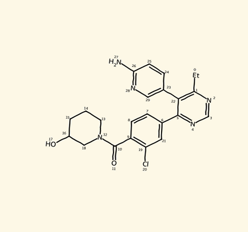 CCc1ncnc(-c2ccc(C(=O)N3CCCC(O)C3)c(Cl)c2)c1-c1ccc(N)nc1